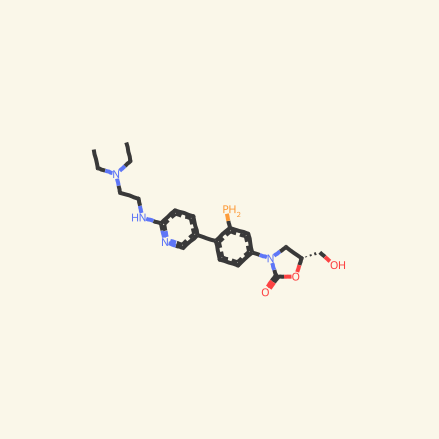 CCN(CC)CCNc1ccc(-c2ccc(N3C[C@H](CO)OC3=O)cc2P)cn1